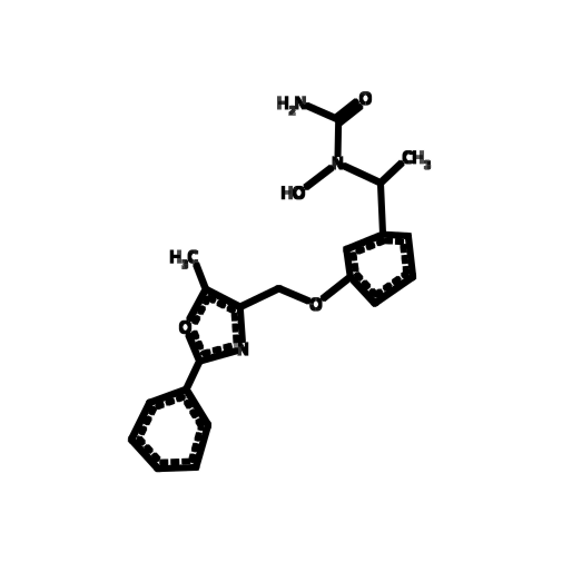 Cc1oc(-c2ccccc2)nc1COc1cccc(C(C)N(O)C(N)=O)c1